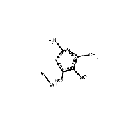 Nc1nc(N)c(N=O)c(O)n1.O=NO